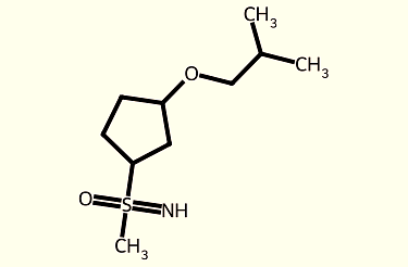 CC(C)COC1CCC(S(C)(=N)=O)C1